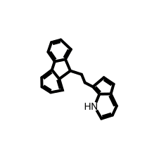 c1c[nH]c2c(CCC3c4ccccc4-c4ccccc43)ccc-2c1